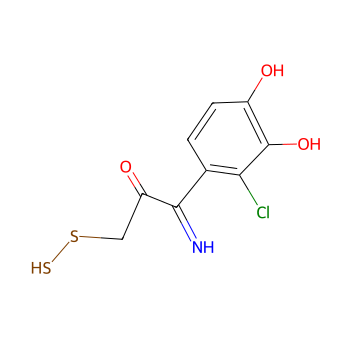 N=C(C(=O)CSS)c1ccc(O)c(O)c1Cl